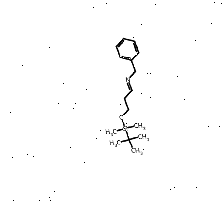 CC(C)(C)[Si](C)(C)OCCC=NCc1ccccc1